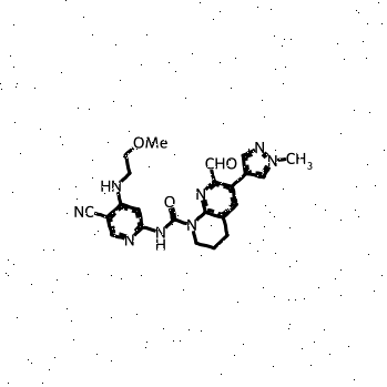 COCCNc1cc(NC(=O)N2CCCc3cc(-c4cnn(C)c4)c(C=O)nc32)ncc1C#N